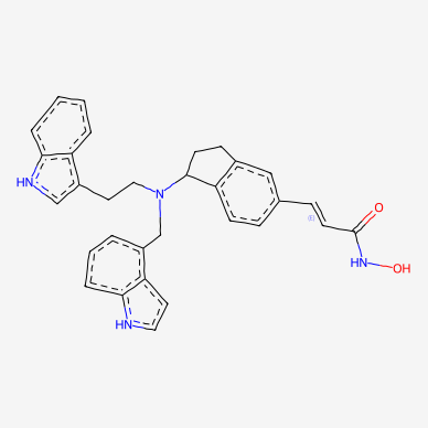 O=C(/C=C/c1ccc2c(c1)CCC2N(CCc1c[nH]c2ccccc12)Cc1cccc2[nH]ccc12)NO